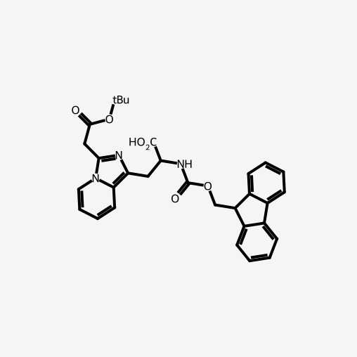 CC(C)(C)OC(=O)Cc1nc(CC(NC(=O)OCC2c3ccccc3-c3ccccc32)C(=O)O)c2ccccn12